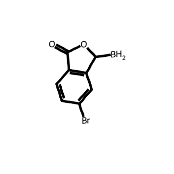 BC1OC(=O)c2ccc(Br)cc21